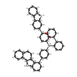 c1ccc(-c2ccccc2N(c2ccc(-c3ccc4c(c3)sc3ccccc34)cc2)c2ccc(-c3cccc4oc5c6ccccc6ccc5c34)cc2)cc1